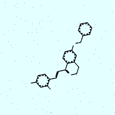 COc1ccc(/C=C/C2=NCCc3cc(OCc4ccccc4)ccc32)c(OC)c1